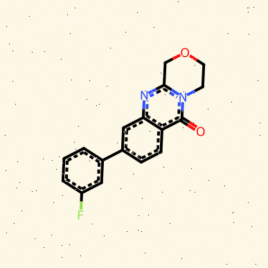 O=c1c2ccc(-c3cccc(F)c3)cc2nc2n1CCOC2